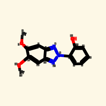 CC(C)Oc1cc2nn(-c3ccccc3O)nc2cc1OC(C)C